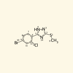 CSc1n[nH]c(-c2ccc(Br)cc2Cl)n1